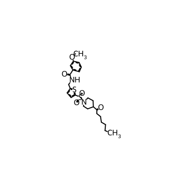 CCCCCCC(=O)C1CCN(S(=O)(=O)c2ccc(CNC(=O)c3cccc(OC)c3)s2)CC1